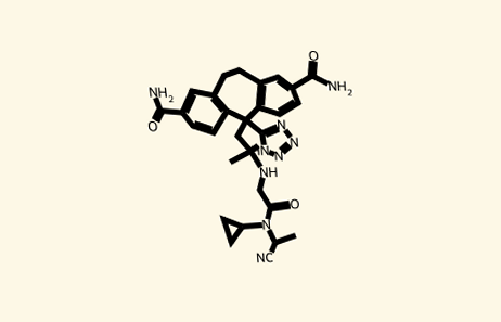 CC(C#N)N(C(=O)CNC(C)(C)CC1(c2nnn[nH]2)c2ccc(C(N)=O)cc2CCc2cc(C(N)=O)ccc21)C1CC1